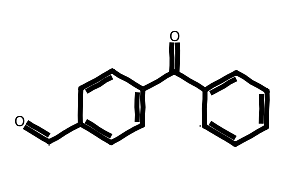 O=[C]c1ccc(C(=O)c2[c]cccc2)cc1